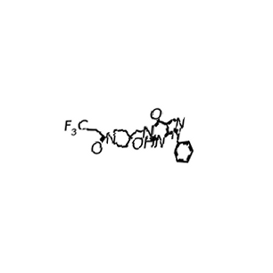 O=C(CCC(F)(F)F)N1CCC(O)(Cn2cnc3c(cnn3-c3ccccc3)c2=O)CC1